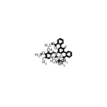 COC(=O)c1ccccc1-c1cc(N(Cc2ncc(C)c(OC)c2C)C(=O)OC(C)(C)C)cc(-c2ccccc2C(=O)OC)c1F